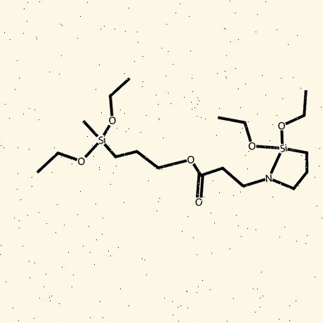 CCO[Si](C)(CCCOC(=O)CCN1CCC[Si]1(OCC)OCC)OCC